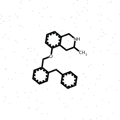 CC1Cc2c(cccc2OCc2ccccc2Cc2ccccc2)CN1